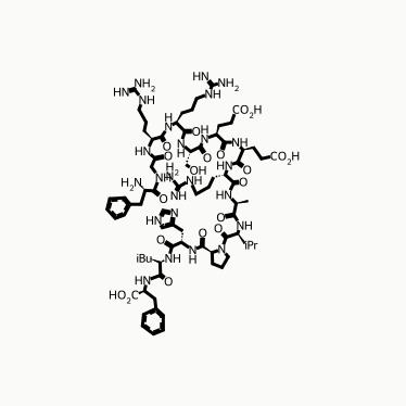 CC[C@H](C)[C@H](NC(=O)[C@H](Cc1c[nH]cn1)NC(=O)[C@@H]1CCCN1C(=O)[C@@H](NC(=O)[C@H](C)NC(=O)[C@H](CCCNC(=N)N)NC(=O)[C@H](CCC(=O)O)NC(=O)[C@H](CCC(=O)O)NC(=O)[C@H](CO)NC(=O)[C@H](CCCNC(=N)N)NC(=O)[C@H](CCCNC(=N)N)NC(=O)CNC(=O)[C@@H](N)Cc1ccccc1)C(C)C)C(=O)N[C@@H](Cc1ccccc1)C(=O)O